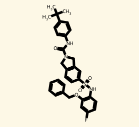 CC(C)(C)c1ccc(NC(=O)N2Cc3ccc(S(=O)(=O)Nc4ccc(F)cc4OCc4ccccc4)cc3C2)cc1